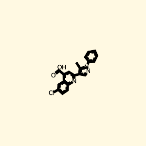 Cc1c(-c2cc(C(=O)O)c3cc(Cl)ccc3n2)cnn1-c1ccccc1